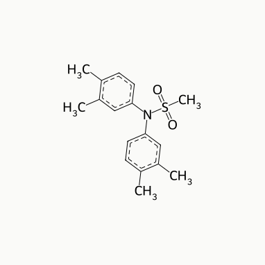 Cc1ccc(N(c2ccc(C)c(C)c2)S(C)(=O)=O)cc1C